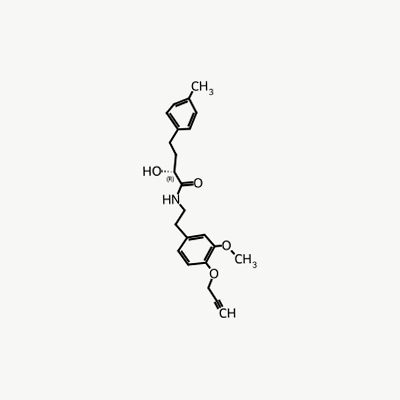 C#CCOc1ccc(CCNC(=O)[C@H](O)CCc2ccc(C)cc2)cc1OC